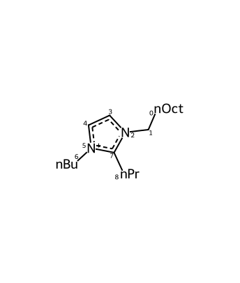 CCCCCCCCCn1cc[n+](CCCC)c1CCC